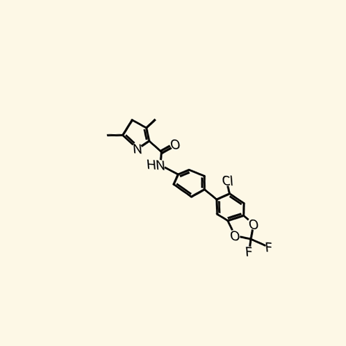 CC1=NC(C(=O)Nc2ccc(-c3cc4c(cc3Cl)OC(F)(F)O4)cc2)=C(C)C1